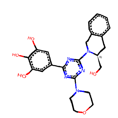 OC[C@@H]1Cc2ccccc2CN1c1nc(-c2cc(O)c(O)c(O)c2)nc(N2CCOCC2)n1